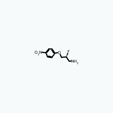 NC[C@H](F)COc1ccc([N+](=O)[O-])cc1